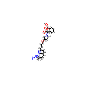 COCc1ccccc1[C@H](C(=O)O)N1CC[C@@H](OCCCCc2ccc3c(n2)NCCC3)C1